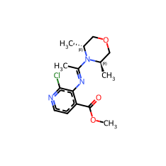 COC(=O)c1ccnc(Cl)c1N=C(C)N1[C@H](C)COC[C@H]1C